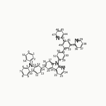 c1ccc(-n2c3ccccc3c3ccc(-c4ccc5c(c4)c4cccnc4n5-c4ccc(-c5cc(-c6ccccn6)cc(-c6ccccn6)c5)cc4)cc32)cc1